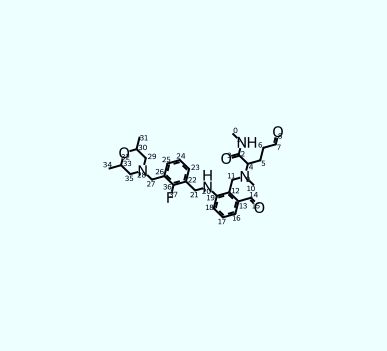 CNC(=O)C(CCC=O)N(C)Cc1c(C=O)cccc1NCc1cccc(CN2CC(C)OC(C)C2)c1F